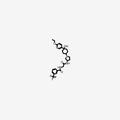 CCOc1ccc(C2(O)CCC(N3CC[C@@H](NC(=O)CNC(=O)c4cccc(C(F)(F)F)c4)C3)CC2)cn1